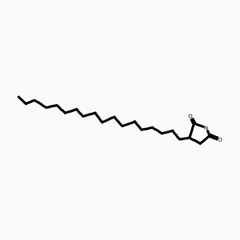 CCCCCCCCCCCCCCCCCCC1CC(=O)[N]C1=O